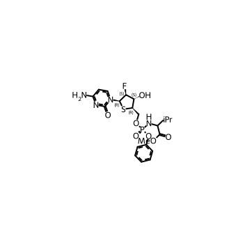 COC(=O)C(NP(=O)(OC[C@H]1S[C@@H](n2ccc(N)nc2=O)[C@@H](F)[C@@H]1O)Oc1ccccc1)C(C)C